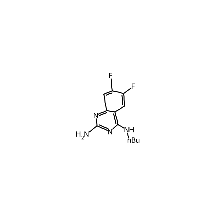 CCCCNc1nc(N)nc2cc(F)c(F)cc12